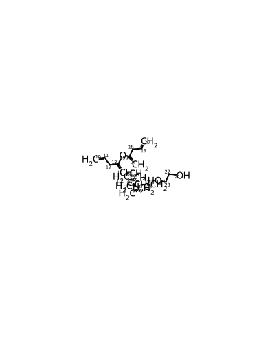 C=C.C=C.C=C.C=C.C=C.C=CCC(=C)OC(=C)CC=C.OCCO